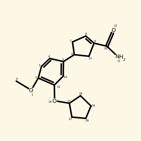 COc1ccc(C2CC=C(C(N)=O)C2)cc1OC1CCCC1